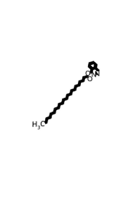 CCCCCCCCCCCCCCCCCCCCCC(=O)Oc1nncc2ccccc12